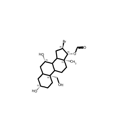 C[C@]12CCC3C(C1C[C@@H](Br)[C@@H]2OC=O)[C@@H](O)CC1C[C@@H](O)CC[C@@]13CO